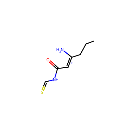 CCC/C(N)=C/C(=O)NC=S